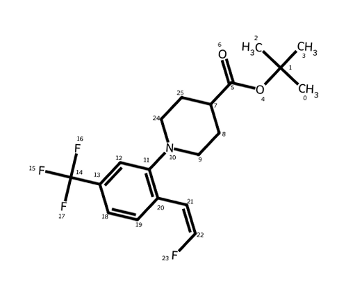 CC(C)(C)OC(=O)C1CCN(c2cc(C(F)(F)F)ccc2/C=C\F)CC1